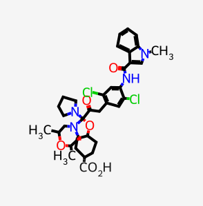 CC1CN(C(OC2CCC(C(=O)O)CC2)(C(=O)Cc2cc(Cl)c(NC(=O)c3cn(C)c4ccccc34)cc2Cl)N2CCCC2)CC(C)O1